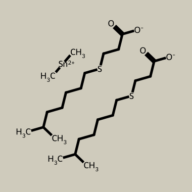 CC(C)CCCCCSCCC(=O)[O-].CC(C)CCCCCSCCC(=O)[O-].[CH3][Sn+2][CH3]